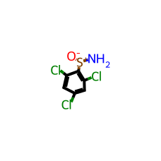 N[S+]([O-])c1c(Cl)cc(Cl)cc1Cl